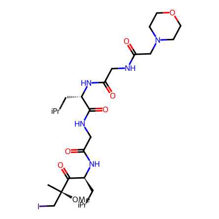 CO[C@](C)(CI)C(=O)[C@H](CC(C)C)NC(=O)CNC(=O)[C@H](CC(C)C)NC(=O)CNC(=O)CN1CCOCC1